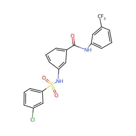 O=C(Nc1cccc(C(F)(F)F)c1)c1cccc(NS(=O)(=O)c2cccc(Cl)c2)c1